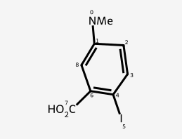 CNc1ccc(I)c(C(=O)O)c1